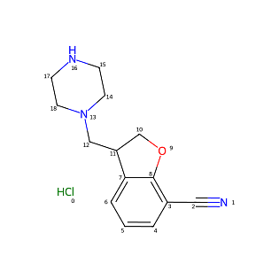 Cl.N#Cc1cccc2c1OCC2CN1CCNCC1